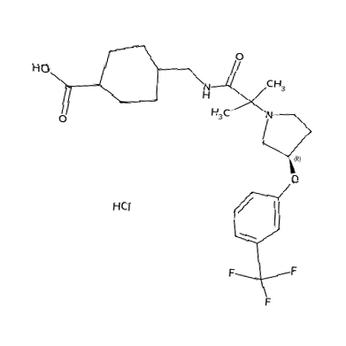 CC(C)(C(=O)NCC1CCC(C(=O)O)CC1)N1CC[C@@H](Oc2cccc(C(F)(F)F)c2)C1.Cl